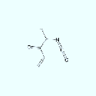 [CH2]C(N=C=O)C(=O)C=C